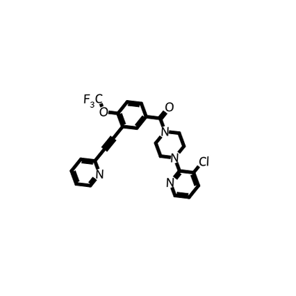 O=C(c1ccc(OC(F)(F)F)c(C#Cc2ccccn2)c1)N1CCN(c2ncccc2Cl)CC1